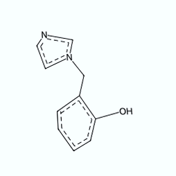 Oc1ccccc1Cn1ccnc1